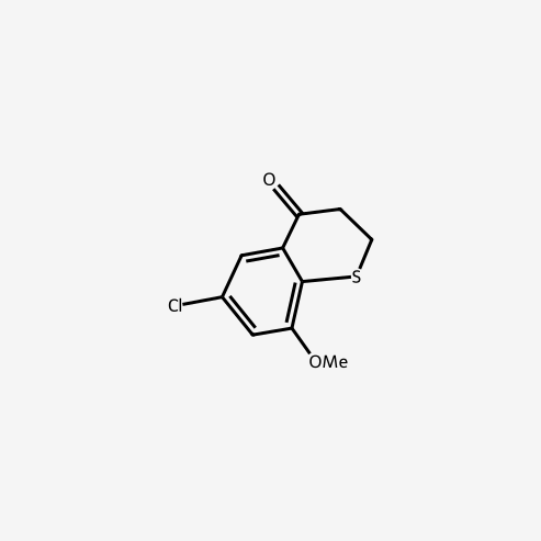 COc1cc(Cl)cc2c1SCCC2=O